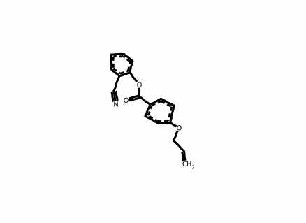 C=CCOc1ccc(C(=O)Oc2ccccc2C#N)cc1